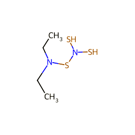 CCN(CC)SN(S)S